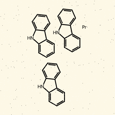 [Pr].c1ccc2c(c1)[nH]c1ccccc12.c1ccc2c(c1)[nH]c1ccccc12.c1ccc2c(c1)[nH]c1ccccc12